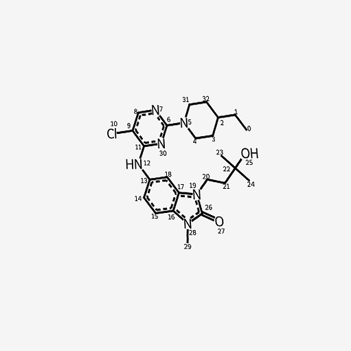 CCC1CCN(c2ncc(Cl)c(Nc3ccc4c(c3)n(CCC(C)(C)O)c(=O)n4C)n2)CC1